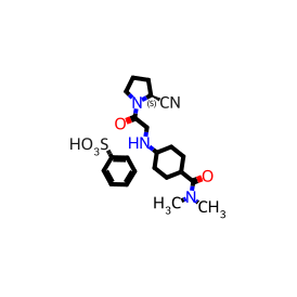 CN(C)C(=O)C1CCC(NCC(=O)N2CCC[C@H]2C#N)CC1.O=S(=O)(O)c1ccccc1